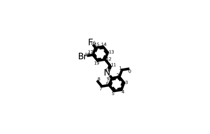 CCc1cccc(CC)c1N=Cc1ccc(F)c(Br)c1